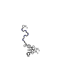 CC/C=C\C/C=C\C/C=C\C/C=C\C/C=C\CCCC(=O)N1CCN(C(=O)[C@@H](NC(=O)c2cccnc2)C(C)C)CC1